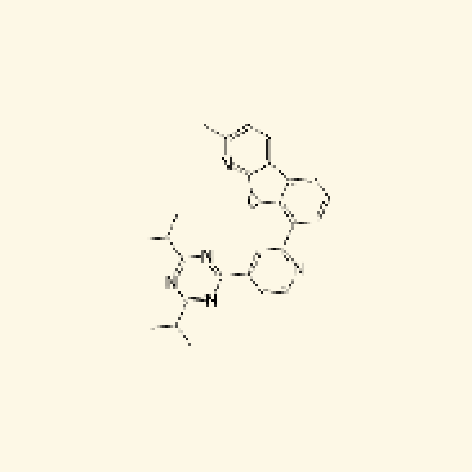 Cc1ccc2c(n1)oc1c(-c3cc(-c4nc(C(C)C)nc(C(C)C)n4)ccn3)cccc12